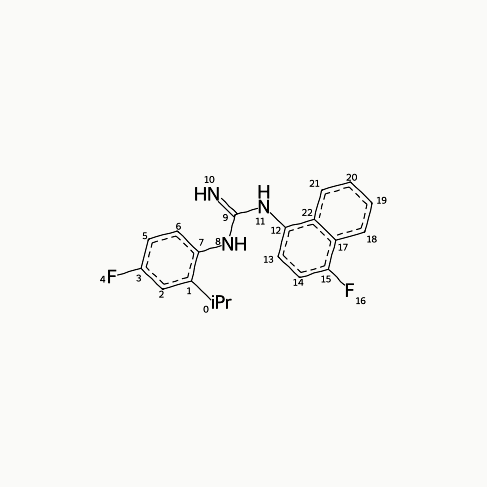 CC(C)c1cc(F)ccc1NC(=N)Nc1ccc(F)c2ccccc12